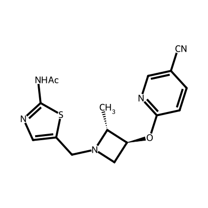 CC(=O)Nc1ncc(CN2C[C@H](Oc3ccc(C#N)cn3)[C@H]2C)s1